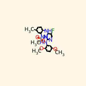 COc1ccc(OC)c(Nc2ncc(F)c(Nc3ccc(C)cc3NS(C)(=O)=O)n2)c1